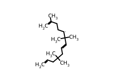 C=CCC(C)(C)CC=CC(C)(C)[CH]CCC(=C)C